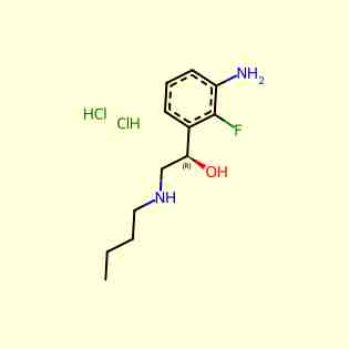 CCCCNC[C@H](O)c1cccc(N)c1F.Cl.Cl